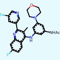 CC(=O)Nc1cc(Nc2c(C)c(-c3cncc(F)c3)nc3cc(F)ccc23)cc(N2CCOCC2)c1